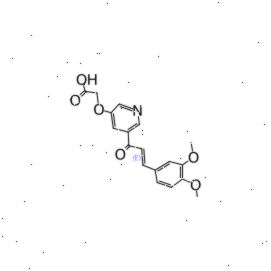 COc1ccc(/C=C/C(=O)c2cncc(OCC(=O)O)c2)cc1OC